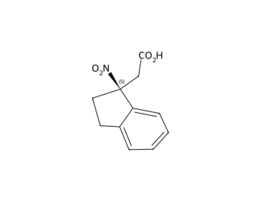 O=C(O)C[C@@]1([N+](=O)[O-])CCc2ccccc21